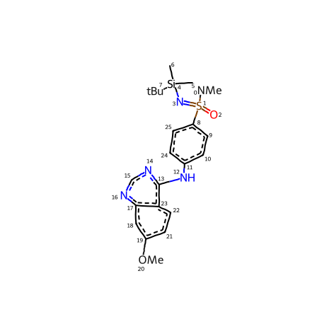 CNS(=O)(=N[Si](C)(C)C(C)(C)C)c1ccc(Nc2ncnc3cc(OC)ccc23)cc1